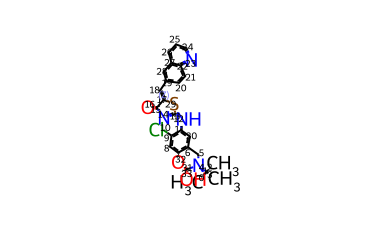 CC(C)(C)N(Cc1ccc(Cl)c(NC2=NC(=O)/C(=C/c3ccc4ncccc4c3)S2)c1)C(=O)O